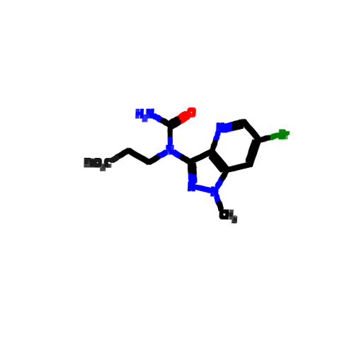 CCOC(=O)CCN(C(N)=O)c1nn(C)c2cc(Br)cnc12